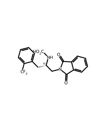 O=C(O)N[C@@H](Cc1ccccc1C(F)(F)F)CN1C(=O)c2ccccc2C1=O